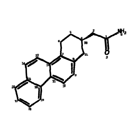 NC(=O)C[C@@H]1CCc2c(ccc3c2ccc2ccccc23)C1